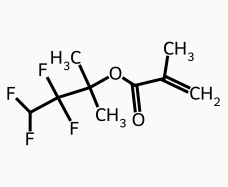 C=C(C)C(=O)OC(C)(C)C(F)(F)C(F)F